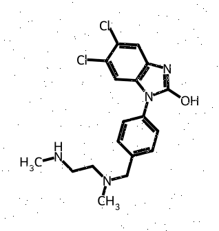 CNCCN(C)Cc1ccc(-n2c(O)nc3cc(Cl)c(Cl)cc32)cc1